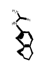 N=C(N)Nc1ccc2c(c1)CCCC2